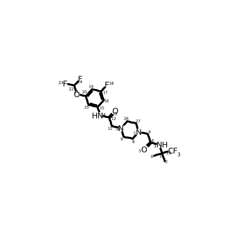 CC(C)(NC(=O)CN1CCN(CC(=O)Nc2cc(F)cc(OC(F)F)c2)CC1)C(F)(F)F